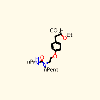 CCCCCN(CCOc1ccc(CC(OCC)C(=O)O)cc1)C(=O)NCCC